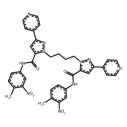 Cc1ccc(NC(=O)c2cc(-c3ccncc3)nn2CCCCn2nc(-c3ccncc3)cc2C(=O)Nc2ccc(C)c([N+](=O)[O-])c2)cc1[N+](=O)[O-]